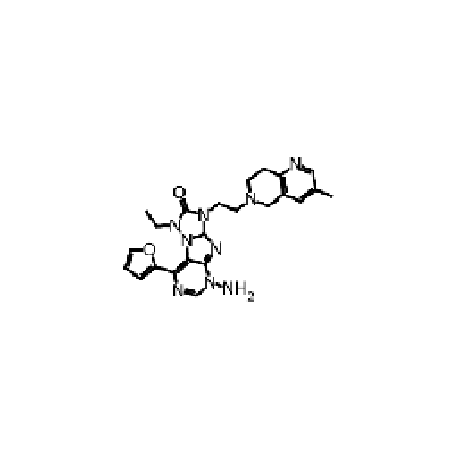 CCN1C(=O)N(CCN2CCc3ncc(C)cc3C2)C2N=C3C(=C(c4ccco4)N=CN3N)N21